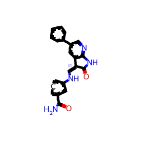 NC(=O)c1cccc(N/C=C2\C(=O)Nc3ncc(-c4ccccc4)cc32)c1